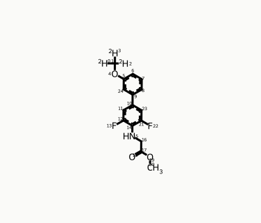 [2H]C([2H])([2H])Oc1cccc(-c2cc(F)c(NCC(=O)OC)c(F)c2)c1